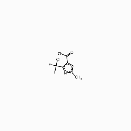 Cn1cc(C(=O)Cl)c(C(F)(F)Cl)n1